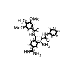 COc1cc(C(=O)NCc2ccc(C(=N)N)cc2N(C)CC(=O)Nc2cccnc2)cc(OC)c1C